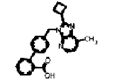 Cc1ccnc2c1nc(C1CCC1)n2Cc1ccc(-c2ccccc2C(=O)O)cc1